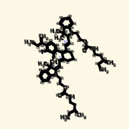 C=C(CN)CCNC(=O)OCCN1/C(=C/C=C2\CCCC(/C=C/C3N(CCOC(=O)NCCC(=C)CN)c4ccccc4C3(C)C)=C2c2ccc(C(=C)CN)c(F)c2F)C(C)(C)c2ccccc21